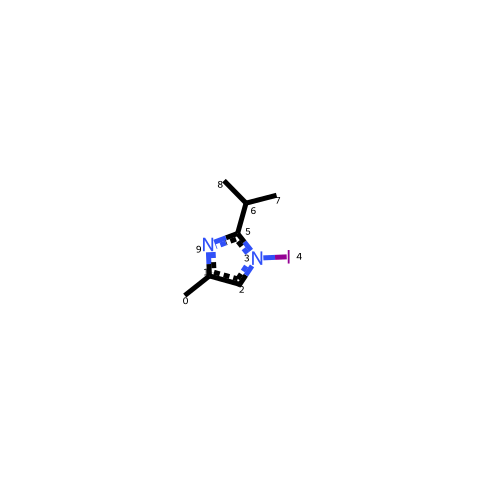 Cc1cn(I)c(C(C)C)n1